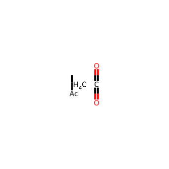 C.CC(C)=O.O=C=O